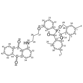 Cc1cc(C)c(C(=O)P(=O)(C(=O)c2c(C)cc(C)cc2C)c2cccc(OCCCNc3cccc4c3C(=O)c3ccccc3C4=O)c2)c(C)c1